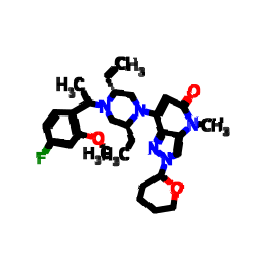 CC[C@H]1CN(C(C)c2ccc(F)cc2OC)[C@H](CC)CN1c1cc(=O)n(C)c2cn(C3CCCCO3)nc12